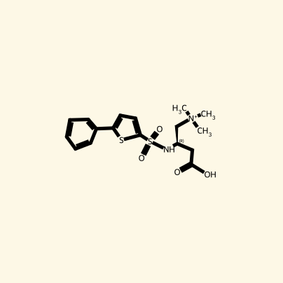 C[N+](C)(C)C[C@@H](CC(=O)O)NS(=O)(=O)c1ccc(-c2ccccc2)s1